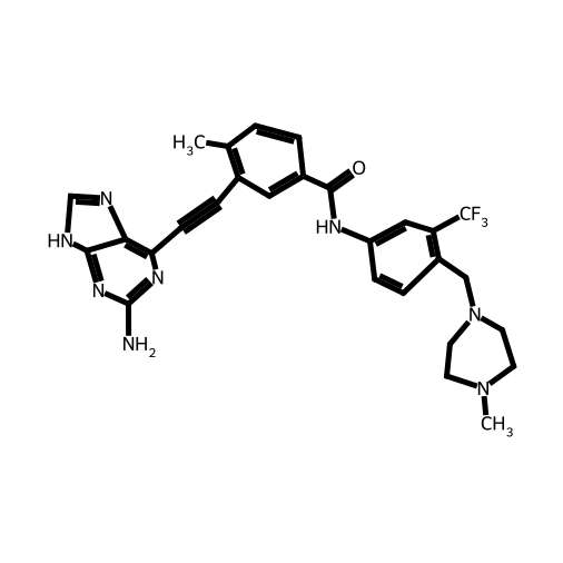 Cc1ccc(C(=O)Nc2ccc(CN3CCN(C)CC3)c(C(F)(F)F)c2)cc1C#Cc1nc(N)nc2[nH]cnc12